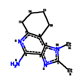 CCc1nc2c(N)nc3c(c2n1CC)CCCC3